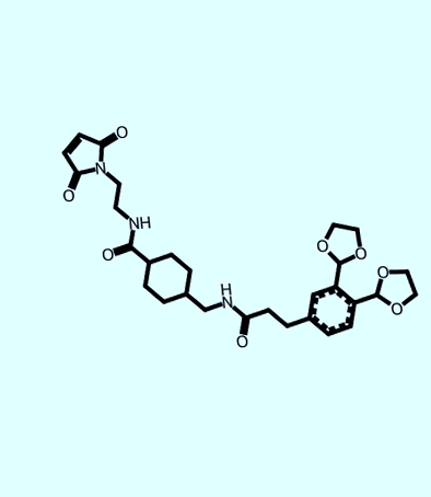 O=C(CCc1ccc(C2OCCO2)c(C2OCCO2)c1)NCC1CCC(C(=O)NCCN2C(=O)C=CC2=O)CC1